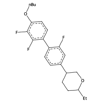 CCCCOc1ccc(-c2ccc(C3CCC(CC)OC3)cc2F)c(F)c1F